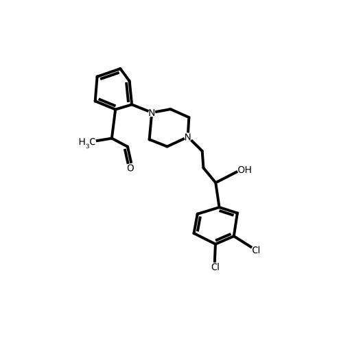 CC(C=O)c1ccccc1N1CCN(CCC(O)c2ccc(Cl)c(Cl)c2)CC1